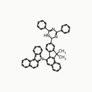 CC1(C)c2cc(C3N=C(c4ccccc4)N=C(c4ccccc4)N3)ccc2-c2c(-n3c4ccccc4c4c5ccccc5ccc43)cc3ccccc3c21